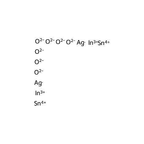 [Ag].[Ag].[In+3].[In+3].[O-2].[O-2].[O-2].[O-2].[O-2].[O-2].[O-2].[Sn+4].[Sn+4]